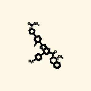 Cc1ccc(-c2cc(C(=O)N3CCc4ccccc4[C@H]3C)nc3cc(-c4ccc(N5CC[C@H](C(N)=O)C5)cc4F)nn23)cc1